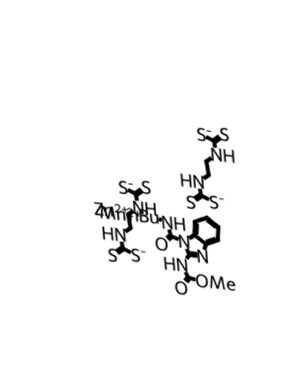 CCCCNC(=O)n1c(NC(=O)OC)nc2ccccc21.S=C([S-])NCCNC(=S)[S-].S=C([S-])NCCNC(=S)[S-].[Mn+2].[Zn+2]